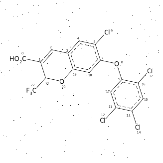 O=C(O)C1=Cc2cc(Cl)c(Oc3cc(Cl)c(Cl)cc3Cl)cc2OC1C(F)(F)F